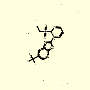 CCS(=O)(=O)C1N=CC=CN1c1nc2cc(C(F)(F)F)cnc2o1